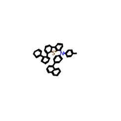 Cc1ccc(N(c2ccc(-c3cccc4ccccc34)cc2)c2cccc3c2SC2C(c4ccccc4C4=CCCC=C4)=CC=CC32)cc1